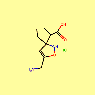 CCC1(C(C)C(=O)O)C=C(CN)ON1.Cl